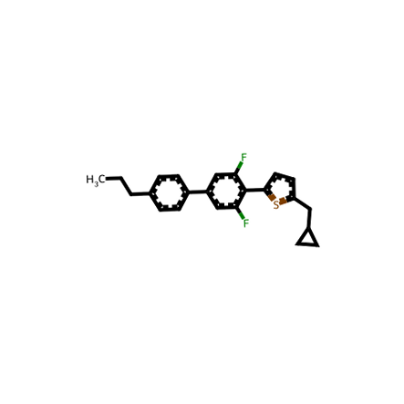 CCCc1ccc(-c2cc(F)c(-c3ccc(CC4CC4)s3)c(F)c2)cc1